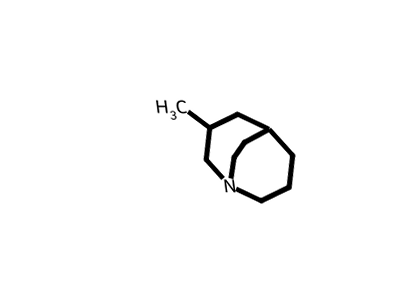 CC1CC2CCCN(CC2)C1